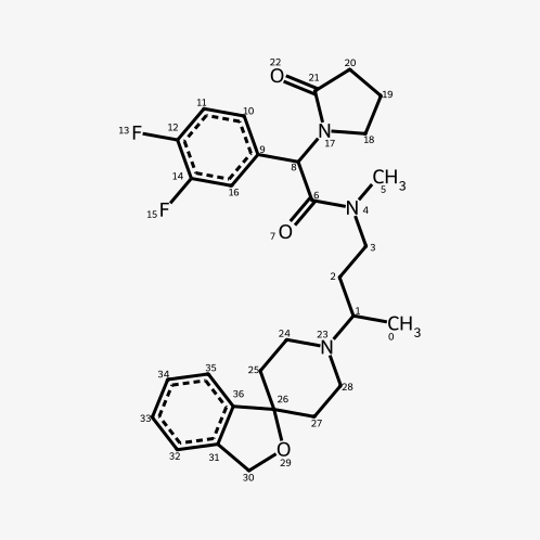 CC(CCN(C)C(=O)C(c1ccc(F)c(F)c1)N1CCCC1=O)N1CCC2(CC1)OCc1ccccc12